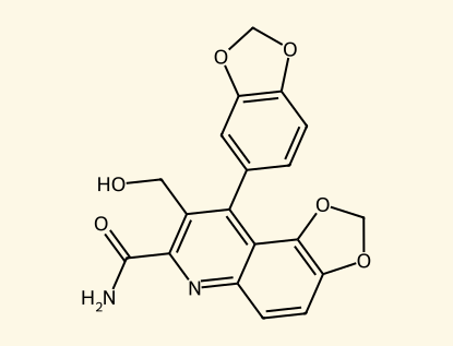 NC(=O)c1nc2ccc3c(c2c(-c2ccc4c(c2)OCO4)c1CO)OCO3